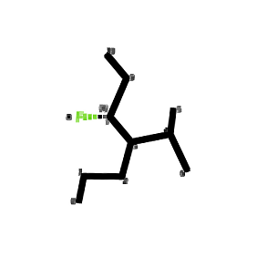 CCCC(C(C)C)[C@H](F)CC